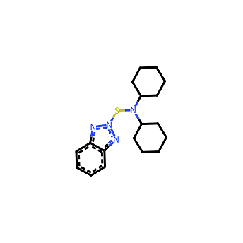 c1ccc2nn(SN(C3CCCCC3)C3CCCCC3)nc2c1